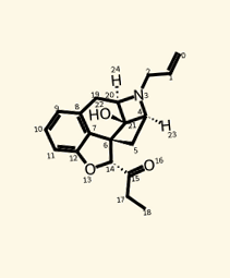 C=CCN1[C@H]2C[C@]34c5c(cccc5O[C@H]3C(=O)CC)C[C@@H]1[C@]24O